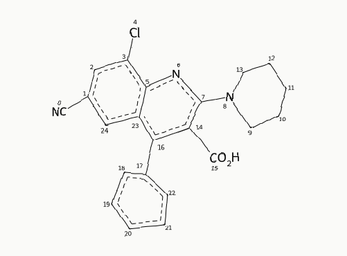 N#Cc1cc(Cl)c2nc(N3CCCCC3)c(C(=O)O)c(-c3ccccc3)c2c1